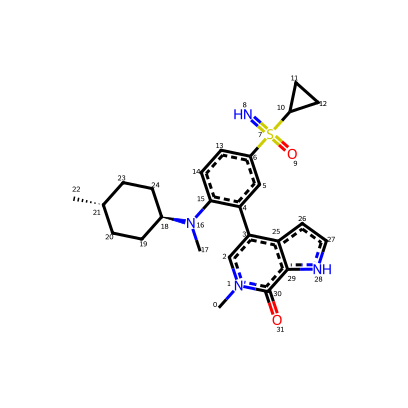 Cn1cc(-c2cc(S(=N)(=O)C3CC3)ccc2N(C)[C@H]2CC[C@H](C)CC2)c2cc[nH]c2c1=O